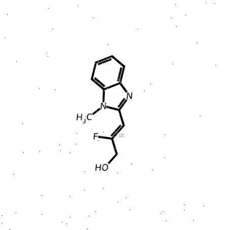 Cn1c(/C=C(\F)CO)nc2ccccc21